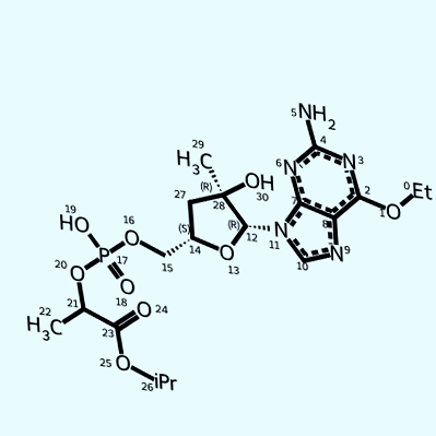 CCOc1nc(N)nc2c1ncn2[C@@H]1O[C@H](COP(=O)(O)OC(C)C(=O)OC(C)C)C[C@@]1(C)O